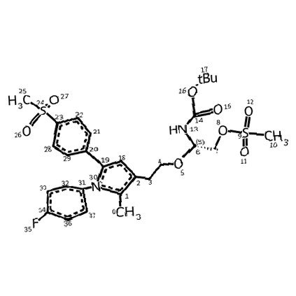 Cc1c(CCO[C@@H](COS(C)(=O)=O)NC(=O)OC(C)(C)C)cc(-c2ccc(S(C)(=O)=O)cc2)n1-c1ccc(F)cc1